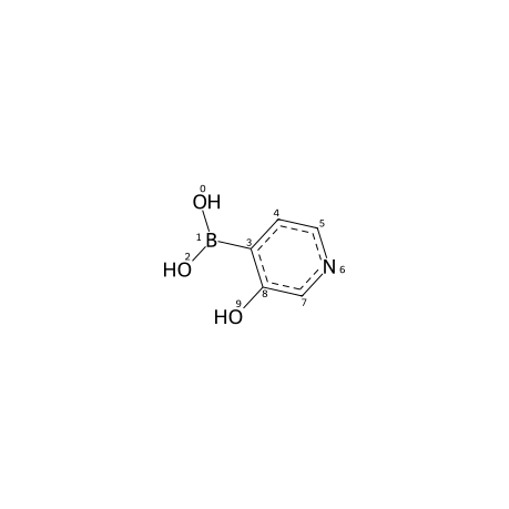 OB(O)c1ccncc1O